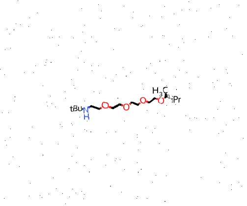 CC(C)[C@@H](C)OCCOCCOCCOCCNC(C)(C)C